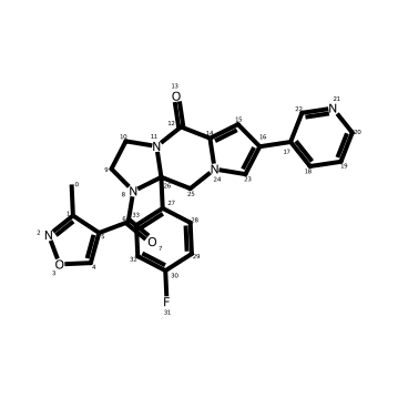 Cc1nocc1C(=O)N1CCN2C(=O)c3cc(-c4cccnc4)cn3CC12c1ccc(F)cc1